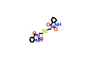 O=c1[nH]c2ccccc2c(=O)n1CCSSCCn1c(=O)[nH]c2ccccc2c1=O